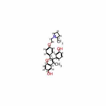 CC1=C(c2cccc(O)c2)C(c2ccc(OCCN3CCCC3C(F)(F)F)cc2)Oc2ccc(O)cc21